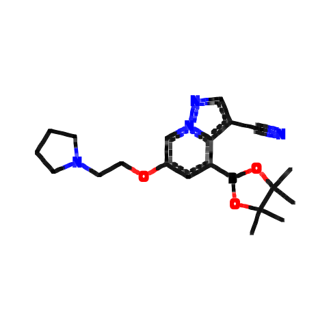 CC1(C)OB(c2cc(OCCN3CCCC3)cn3ncc(C#N)c23)OC1(C)C